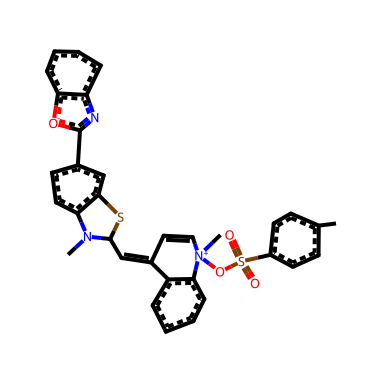 Cc1ccc(S(=O)(=O)O[N+]2(C)C=CC(=CC3Sc4cc(-c5nc6ccccc6o5)ccc4N3C)c3ccccc32)cc1